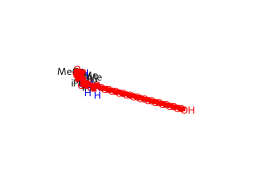 C#CC(=O)N(CCC(=O)NCCOCCOCCOCCOCCOCCOCCOCCOCCOCCOCCOCCOCCOCCOCCOCCOCCOCCOCCOCCOCCOCCOCCOCCO)CCC(=O)N[C@@H](C)C(=O)N(C)[C@H](C(=O)N[C@H](C(=O)N(C)[C@@H]([C@@H](C)CC)[C@@H](CC(=O)N1CCC[C@H]1[C@H](OC)[C@@H](C)C(=O)NC(Cc1ccccc1)C(=O)OC)OC)C(C)C)C(C)C